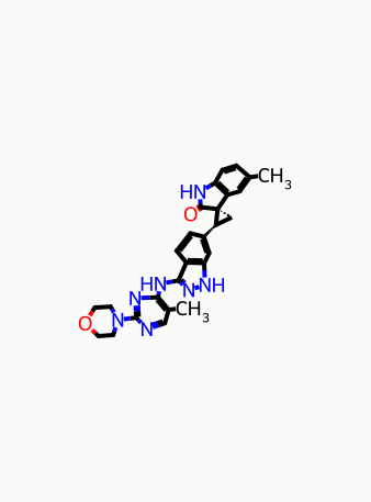 Cc1ccc2c(c1)[C@]1(C[C@H]1c1ccc3c(Nc4nc(N5CCOCC5)ncc4C)n[nH]c3c1)C(=O)N2